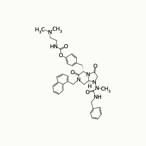 CN(C)CCNC(=O)Oc1ccc(C[C@H]2C(=O)N(Cc3cccc4ccccc34)C[C@H]3N2C(=O)CN3N(C)C(=O)NCc2ccccc2)cc1